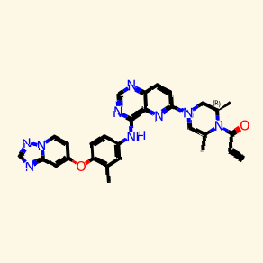 C=CC(=O)N1C(C)CN(c2ccc3ncnc(Nc4ccc(Oc5ccn6ncnc6c5)c(C)c4)c3n2)C[C@H]1C